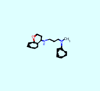 CN(CCCNC1CCOc2ccccc21)c1ccccc1